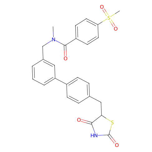 CN(Cc1cccc(-c2ccc(CC3SC(=O)NC3=O)cc2)c1)C(=O)c1ccc(S(C)(=O)=O)cc1